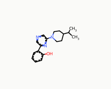 CC(C)C1CCN(c2cncc(-c3ccccc3O)n2)CC1